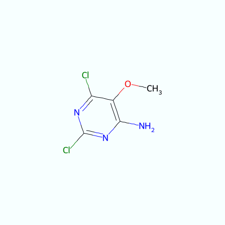 COc1c(N)nc(Cl)nc1Cl